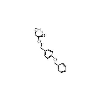 CCC(=O)OCCc1ccc(OCc2ccccc2)cc1